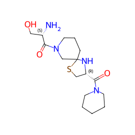 N[C@@H](CO)C(=O)N1CCCC2(C1)N[C@H](C(=O)N1CCCCC1)CS2